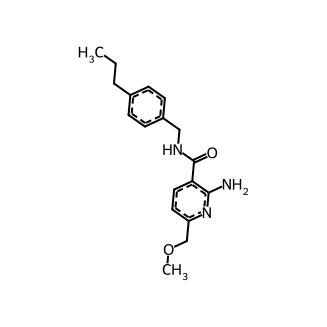 CCCc1ccc(CNC(=O)c2ccc(COC)nc2N)cc1